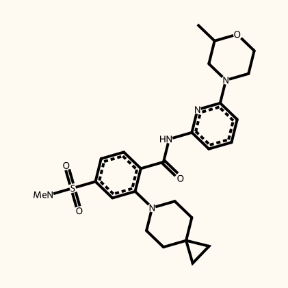 CNS(=O)(=O)c1ccc(C(=O)Nc2cccc(N3CCOC(C)C3)n2)c(N2CCC3(CC2)CC3)c1